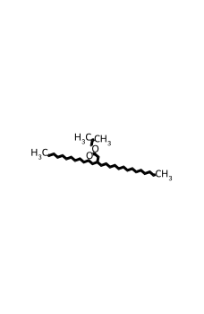 CCCCCCCCCCCCCCC(CCCCCCCCCCCC)CC(=O)OCC(C)C